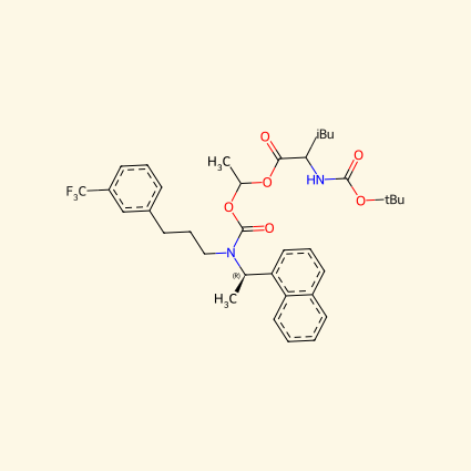 CCC(C)C(NC(=O)OC(C)(C)C)C(=O)OC(C)OC(=O)N(CCCc1cccc(C(F)(F)F)c1)[C@H](C)c1cccc2ccccc12